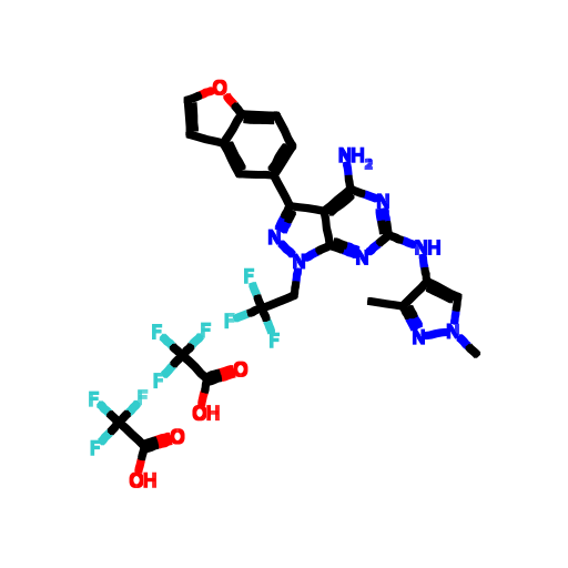 Cc1nn(C)cc1Nc1nc(N)c2c(-c3ccc4occc4c3)nn(CC(F)(F)F)c2n1.O=C(O)C(F)(F)F.O=C(O)C(F)(F)F